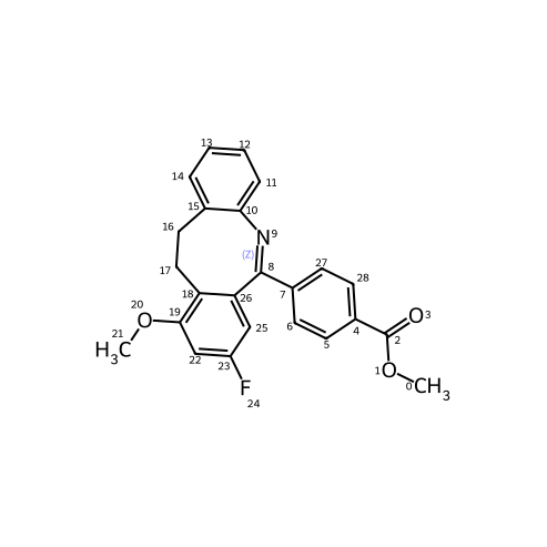 COC(=O)c1ccc(/C2=N/c3ccccc3CCc3c(OC)cc(F)cc32)cc1